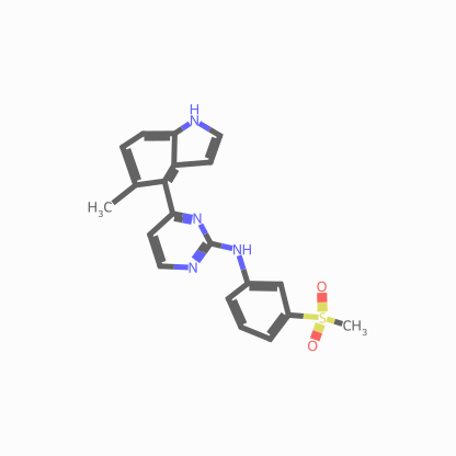 Cc1ccc2[nH]ccc2c1-c1ccnc(Nc2cccc(S(C)(=O)=O)c2)n1